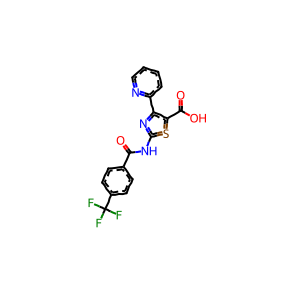 O=C(Nc1nc(-c2ccccn2)c(C(=O)O)s1)c1ccc(C(F)(F)F)cc1